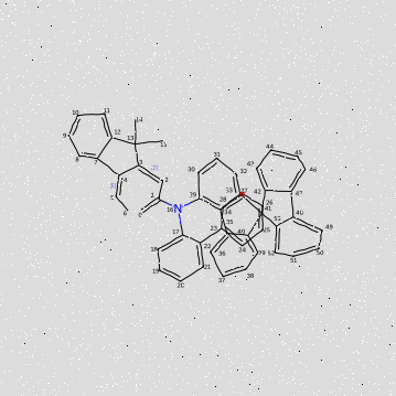 C=C(/C=C1\C(=C/C)c2ccccc2C1(C)C)N(c1ccccc1-c1ccccc1)c1cccc2c1-c1ccccc1C21c2ccccc2-c2ccccc21